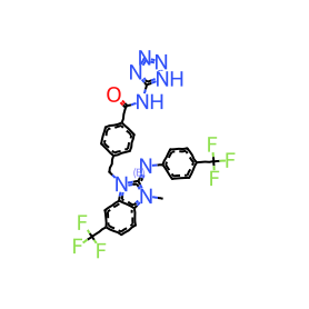 Cn1/c(=N\c2ccc(C(F)(F)F)cc2)n(Cc2ccc(C(=O)Nc3nnn[nH]3)cc2)c2cc(C(F)(F)F)ccc21